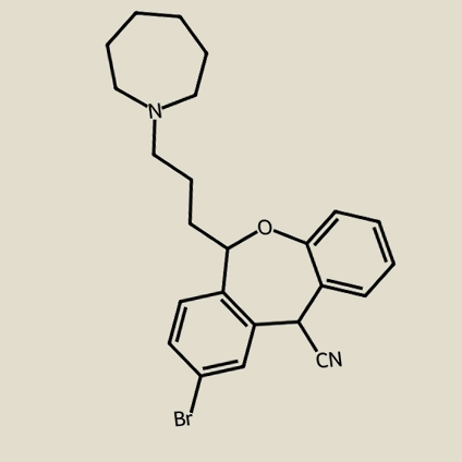 N#CC1c2ccccc2OC(CCCN2CCCCCC2)c2ccc(Br)cc21